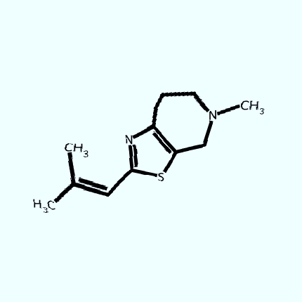 CC(C)=Cc1nc2c(s1)CN(C)CC2